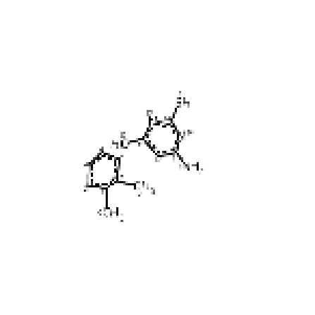 Cc1ccccc1C.Nc1cc(O)nc(S)n1